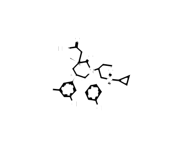 CCC(CS(=O)(=O)C1CC1)N1C(=O)[C@@](C)(CC(=O)O)C[C@H](c2cc(F)cc(Cl)c2)[C@H]1c1ccc(Cl)cc1